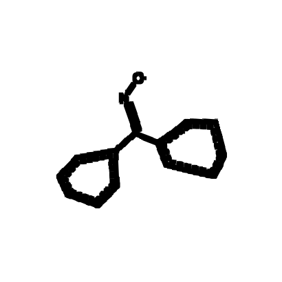 [O]N=C(c1ccccc1)c1ccccc1